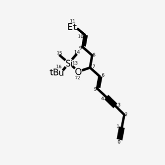 C#CCC#C/C=C/C(C/C=C/CC)O[Si](C)(C)C(C)(C)C